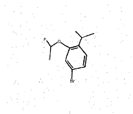 CC(C)c1ccc(Br)cc1OC(F)F